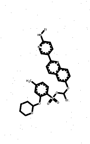 CCNc1ccc(-c2ccc3cc(OC(CC)OS(=O)(=O)c4ccc(C)cc4OC4CCCCO4)ccc3n2)cn1